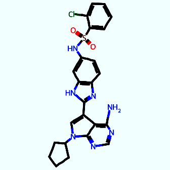 Nc1ncnc2c1c(-c1nc3ccc(NS(=O)(=O)c4ccccc4Cl)cc3[nH]1)cn2C1CCCC1